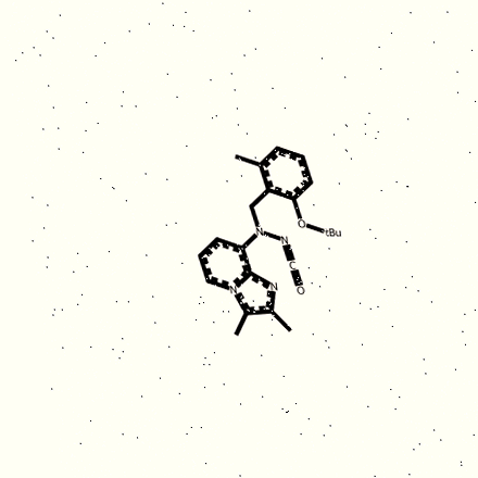 Cc1cccc(OC(C)(C)C)c1CN(N=C=O)c1cccn2c(C)c(C)nc12